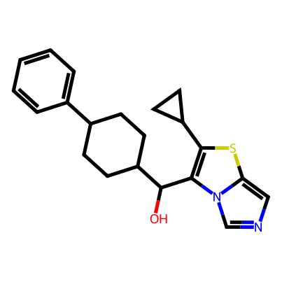 OC(c1c(C2CC2)sc2cncn12)C1CCC(c2ccccc2)CC1